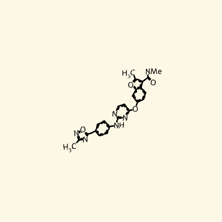 CNC(=O)c1c(C)oc2cc(Oc3ccnc(Nc4ccc(-c5nc(C)no5)cc4)n3)ccc12